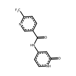 O=C(Nc1cc[nH]c(=O)c1)c1ccc(C(F)(F)F)nc1